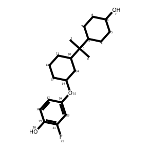 CC(C)(C1CCC(O)CC1)C1CCCC(Oc2ccc(O)c(F)c2)C1